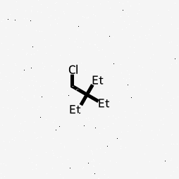 CCC(CC)(CC)CCl